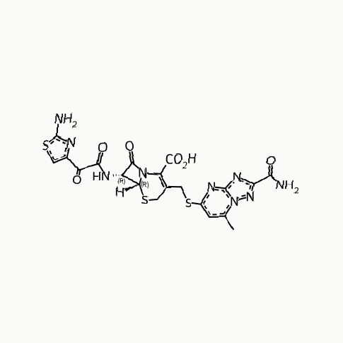 Cc1cc(SCC2=C(C(=O)O)N3C(=O)[C@@H](NC(=O)C(=O)c4csc(N)n4)[C@H]3SC2)nc2nc(C(N)=O)nn12